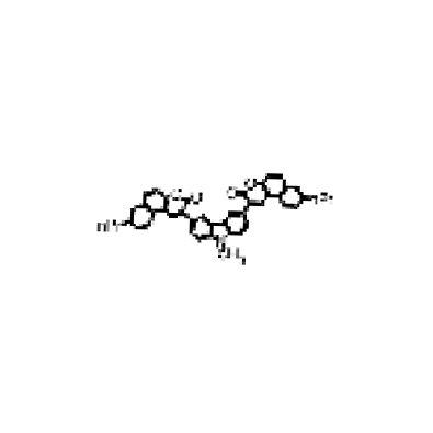 CCCc1ccc2c(ccc3oc(=O)c(-c4ccc5c(c4)c4cc(-c6cc7c(ccc8cc(CCC)ccc87)oc6=O)ccc4n5C)cc32)c1